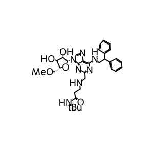 COC[C@H]1O[C@@H](n2cnc3c(NCC(c4ccccc4)c4ccccc4)nc(CNCCC(=O)NC(C)(C)C)nc32)[C@@H](O)[C@@H]1O